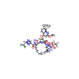 COc1ccc2c(O[C@@H]3C[C@H]4C(=O)N[C@]5(C(=O)NS(=O)(=O)C6(C)CC6)C[C@H]5/C=C\CCCCC[C@H](NC(=O)c5cnn(CC(F)F)n5)C(=O)N4C3)cc(OC(C)C)nc2c1C